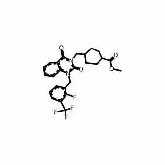 COC(=O)C1CCC(Cn2c(=O)c3ccccc3n(Cc3cccc(C(F)(F)F)c3F)c2=O)CC1